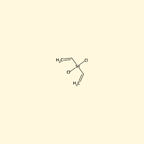 C=[CH][Sn]([Cl])([Cl])[CH]=C